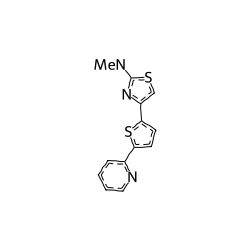 CNc1nc(-c2ccc(-c3ccccn3)s2)cs1